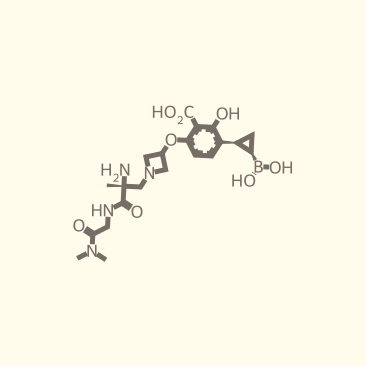 CN(C)C(=O)CNC(=O)[C@](C)(N)CN1CC(Oc2ccc([C@H]3C[C@H]3B(O)O)c(O)c2C(=O)O)C1